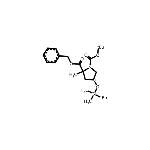 CC(C)(C)OC(=O)N1C[C@@H](O[Si](C)(C)C(C)(C)C)CC1(C)C(=O)OCc1ccccc1